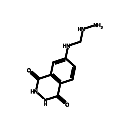 NNCNc1ccc2c(=O)[nH][nH]c(=O)c2c1